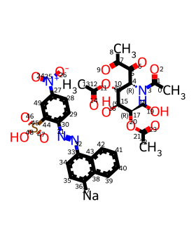 CC(=O)N[C@@H](C(=O)C(C)=O)[C@@H](OC(C)=O)[C@H](O)[C@@H](CO)OC(C)=O.O=[N+]([O-])c1ccc(N=Nc2cc[c]([Na])c3ccccc23)c(S(=O)(=O)O)c1